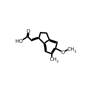 COc1cc2c(cc1C)C(=CC(=O)O)CC2